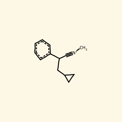 C[N+]#CC(CC1CC1)c1ccccc1